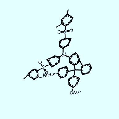 COc1ccc(C2(c3ccc(OC)cc3)c3ccccc3-c3ccc([S+](c4ccc(S(=O)(=O)c5ccc(C)cc5C)cc4)c4ccc(S(=O)(=O)c5ccc(C)cc5C)cc4)cc32)cc1